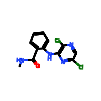 CNC(=O)c1ccccc1Nc1nc(Cl)cnc1Cl